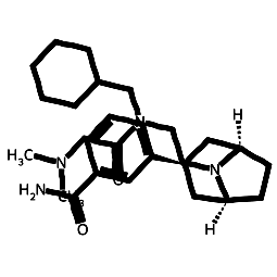 CN(C)CC(=O)N(CCN1[C@@H]2CC[C@H]1C[C@@H](c1cccc(C(N)=O)c1)C2)CC1CCCCC1